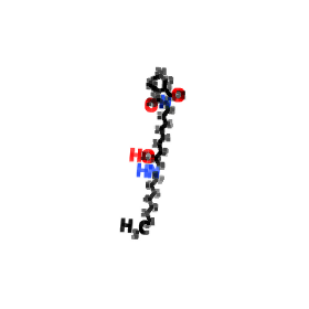 CCCCCCCCNCC(O)CCCCCCCN1C(=O)c2ccccc2C1=O